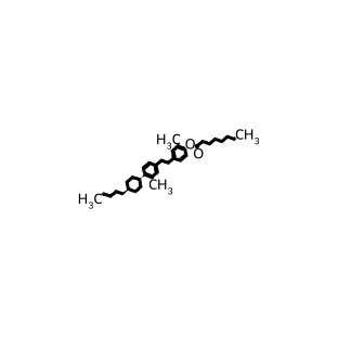 CCCCCCCC(=O)Oc1ccc(CCc2ccc([C@H]3CC[C@H](CCCCC)CC3)c(C)c2)cc1C